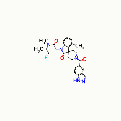 Cc1cccc2c1C1(CCN(C(=O)c3ccc4[nH]ncc4c3)CC1)C(=O)N2CC(=O)N(C)[C@@H](C)CF